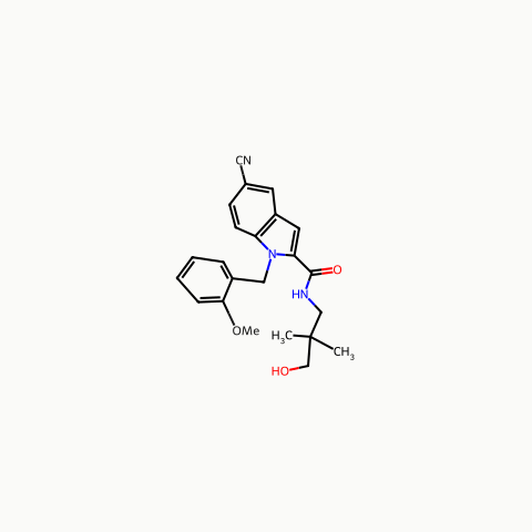 COc1ccccc1Cn1c(C(=O)NCC(C)(C)CO)cc2cc(C#N)ccc21